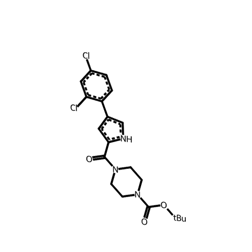 CC(C)(C)OC(=O)N1CCN(C(=O)c2cc(-c3ccc(Cl)cc3Cl)c[nH]2)CC1